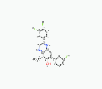 O=C(O)c1c(O)c(-c2cccc(F)c2)cc2nc(-c3ccc(F)c(F)c3)cnc12